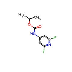 CC(C)OC(=O)Nc1cc(F)nc(F)c1